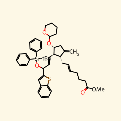 C=C1C[C@@H](OC2CCCCO2)[C@H](C=CC(O[Si](c2ccccc2)(c2ccccc2)C(C)(C)C)c2cc3ccccc3s2)[C@H]1CC=CCCCC(=O)OC